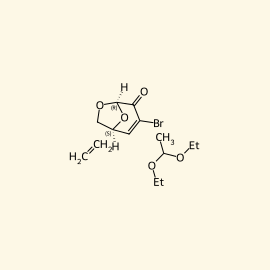 C=C.CCOC(C)OCC.O=C1C(Br)=C[C@H]2CO[C@@H]1O2